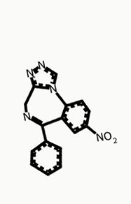 O=[N+]([O-])c1ccc2c(c1)C(c1ccccc1)=NCc1nncn1-2